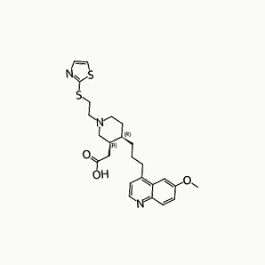 COc1ccc2nccc(CCC[C@@H]3CCN(CCSc4nccs4)C[C@@H]3CC(=O)O)c2c1